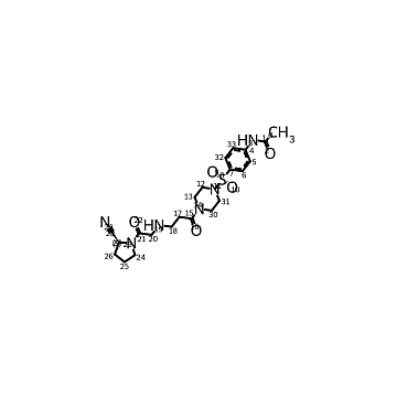 CC(=O)Nc1ccc(S(=O)(=O)N2CCN(C(=O)CCNCC(=O)N3CCC[C@H]3C#N)CC2)cc1